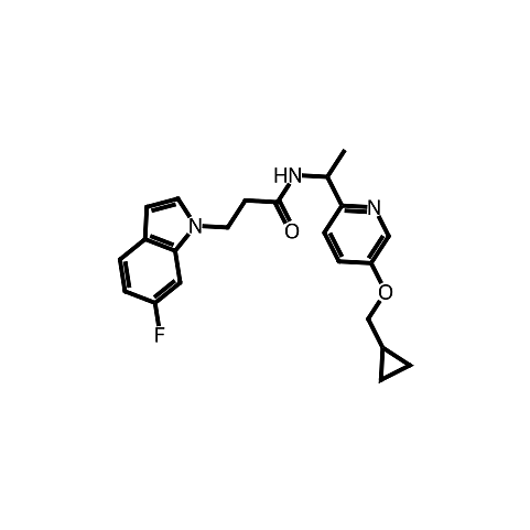 CC(NC(=O)CCn1ccc2ccc(F)cc21)c1ccc(OCC2CC2)cn1